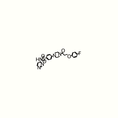 O=C(CCOc1ccc(F)cc1)N1CCN(c2ccc(S(=O)(=O)Nc3ccncn3)cc2)CC1